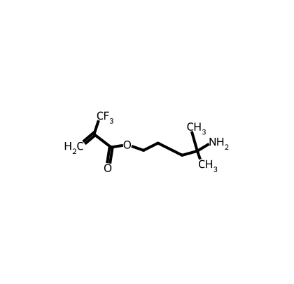 C=C(C(=O)OCCCC(C)(C)N)C(F)(F)F